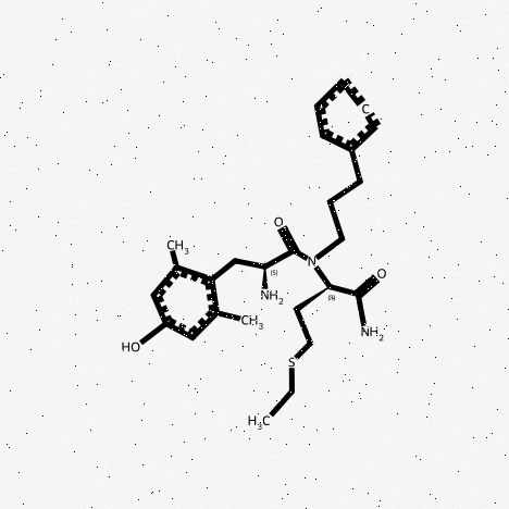 CCSCC[C@H](C(N)=O)N(CCCc1ccccc1)C(=O)[C@@H](N)Cc1c(C)cc(O)cc1C